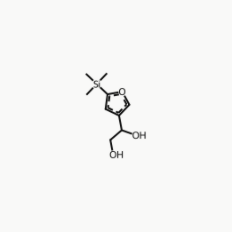 C[Si](C)(C)c1cc(C(O)CO)co1